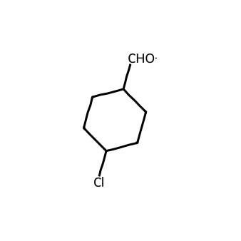 O=[C]C1CCC(Cl)CC1